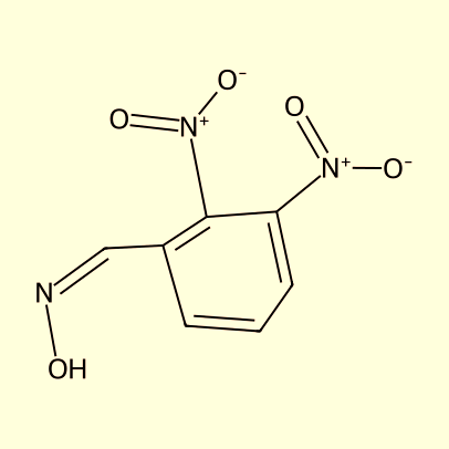 O=[N+]([O-])c1cccc(/C=N\O)c1[N+](=O)[O-]